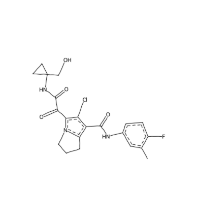 Cc1cc(NC(=O)c2c(Cl)c(C(=O)C(=O)NC3(CO)CC3)n3c2CCC3)ccc1F